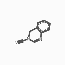 N#CN1C=Nc2ccccc2C1